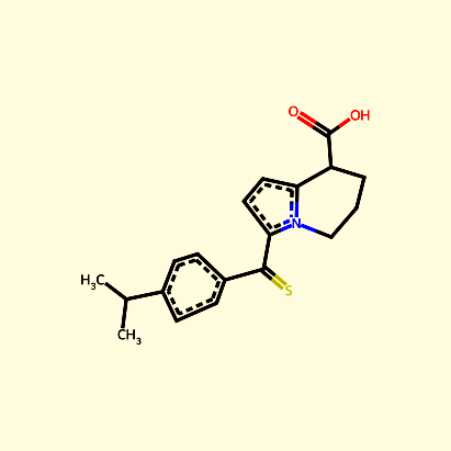 CC(C)c1ccc(C(=S)c2ccc3n2CCCC3C(=O)O)cc1